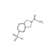 O=C(N1Cc2ccc(S(=O)(=O)Cl)cc2C1)C(Cl)(Cl)Cl